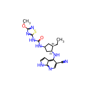 CC[C@@H]1CC(NC(=O)Nc2nc(OC)ns2)C[C@@H]1Nc1c(C#N)cnc2[nH]ccc12